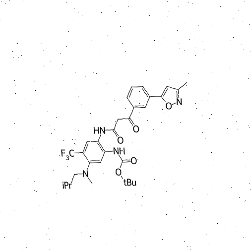 Cc1cc(-c2cccc(C(=O)CC(=O)Nc3cc(C(F)(F)F)c(N(C)CC(C)C)cc3NC(=O)OC(C)(C)C)c2)on1